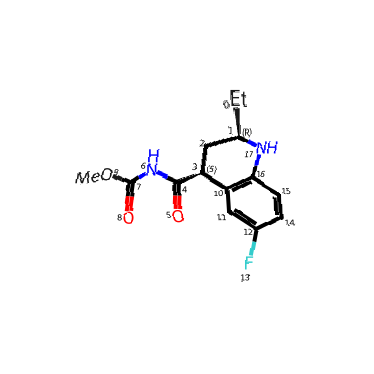 CC[C@@H]1C[C@H](C(=O)NC(=O)OC)c2cc(F)ccc2N1